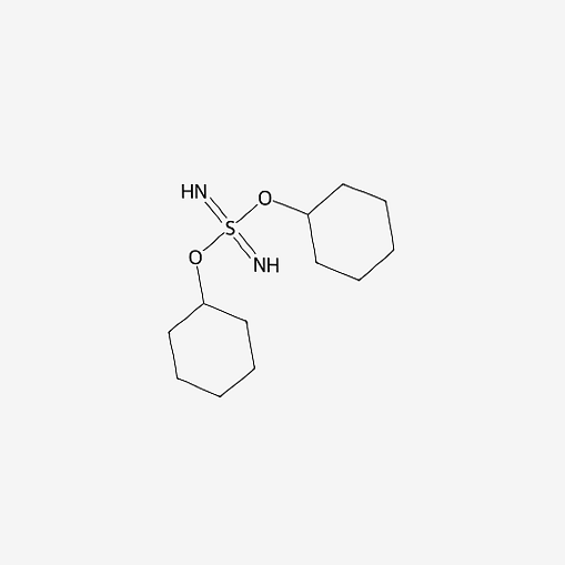 N=S(=N)(OC1CCCCC1)OC1CCCCC1